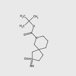 CC(C)(C)OC(=O)N1CCCC2(CCS(=N)(=O)C2)C1